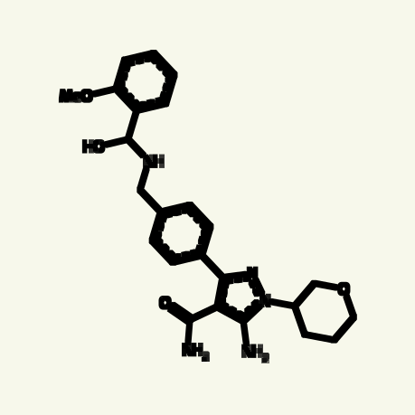 COc1ccccc1C(O)NCc1ccc(-c2nn(C3CCCOC3)c(N)c2C(N)=O)cc1